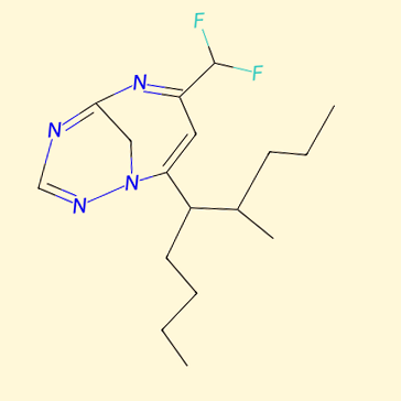 CCCCC(C1=CC(C(F)F)=NC2=NC=NN1C2)C(C)CCC